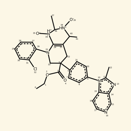 CCOC(=O)C1(c2ccc(-n3c(C)nc4cnccc43)cc2)CC2=C(N(c3ccccc3Cl)C1)[NH+]([O-])C(C)[NH+]([O-])C2C